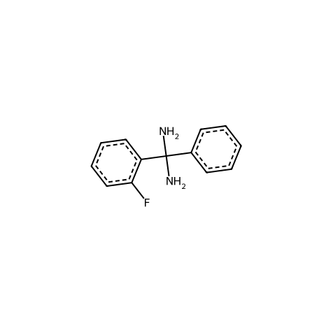 NC(N)(c1ccccc1)c1ccccc1F